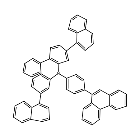 c1ccc(-c2ccc(-c3cccc4ccccc34)cc2N(c2ccc(-c3cc4ccccc4c4ccccc34)cc2)c2cccc(-c3cccc4ccccc34)c2)cc1